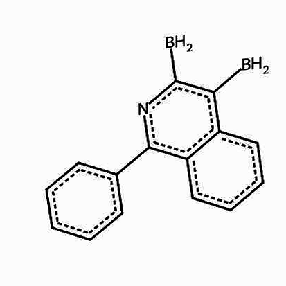 Bc1nc(-c2ccccc2)c2ccccc2c1B